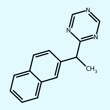 CC(c1ccc2ccccc2c1)c1ncncn1